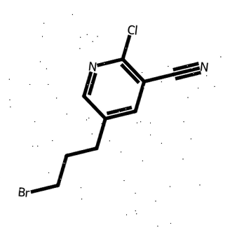 N#Cc1cc(CCCBr)cnc1Cl